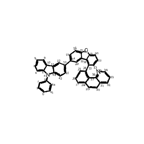 c1ccc(-n2c3ccccc3c3cc(-c4ccc5oc6cccc(-c7cccc8ccc9cccnc9c78)c6c5c4)ccc32)cc1